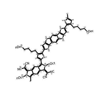 [C-]#[N+]C([N+]#[C-])=c1c2cc3c(C)n(CCCCCCCC)c(=C(C#N)C#N)c3cc2c(-c2cc(CCCCCCCCCCCCCC)c(-c3cc4sc5cc6c(cc5c4s3)sc3cc(-c4sc(C)cc4CCCCCCCCCCCCCC)sc36)s2)n1CCCCCCCC